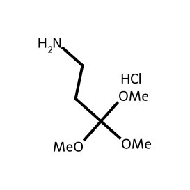 COC(CCN)(OC)OC.Cl